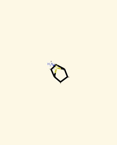 N[SH]1C2CCC1CC2